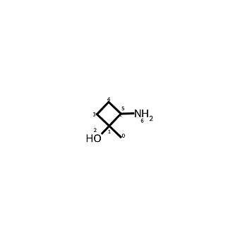 CC1(O)CC[C]1N